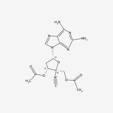 [C-]#[N+][C@]1(COC(C)=O)O[C@@H](n2cnc3c(N)nc(N)nc32)C[C@H]1OC(C)=O